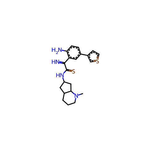 CN1CCCC2CC(NC(=S)C(=N)c3cc(-c4ccsc4)ccc3N)CC21